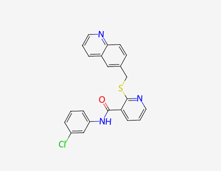 O=C(Nc1cccc(Cl)c1)c1cccnc1SCc1ccc2ncccc2c1